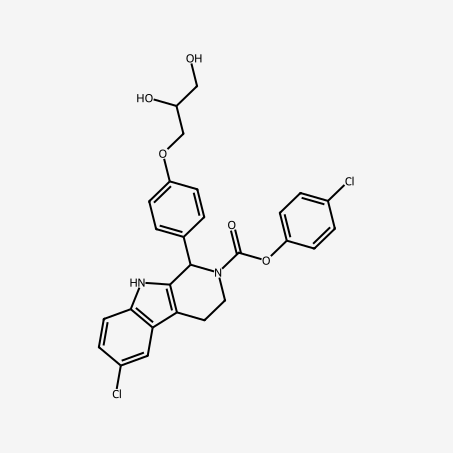 O=C(Oc1ccc(Cl)cc1)N1CCc2c([nH]c3ccc(Cl)cc23)C1c1ccc(OCC(O)CO)cc1